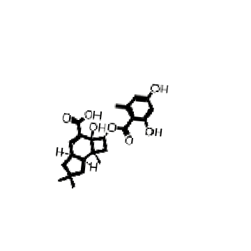 Cc1cc(O)cc(O)c1C(=O)O[C@@H]1C[C@]2(C)[C@H]3CC(C)(C)C[C@H]3C=C(C(=O)O)[C@]12O